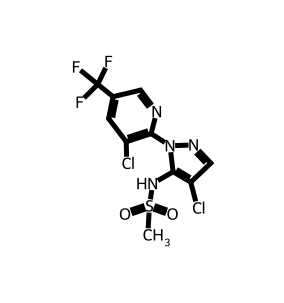 CS(=O)(=O)Nc1c(Cl)cnn1-c1ncc(C(F)(F)F)cc1Cl